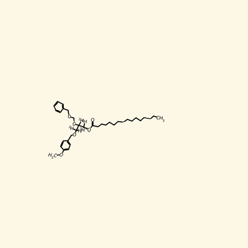 [2H]C([2H])(OCc1ccc(OC)cc1)C([2H])(OCOCc1ccccc1)C([2H])([2H])OC(=O)CCCCCCCCCCCCCCC